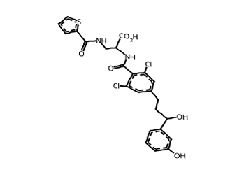 O=C(NCC(NC(=O)c1c(Cl)cc(CCC(O)c2cccc(O)c2)cc1Cl)C(=O)O)c1cccs1